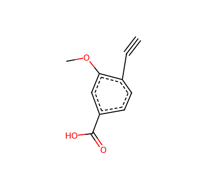 C#Cc1ccc(C(=O)O)cc1OC